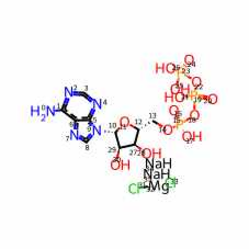 Nc1ncnc2c1ncn2[C@@H]1O[C@H](COP(=O)(O)OP(=O)(O)OP(=O)(O)O)[C@@H](O)[C@H]1O.[Cl][Mg][Cl].[NaH].[NaH]